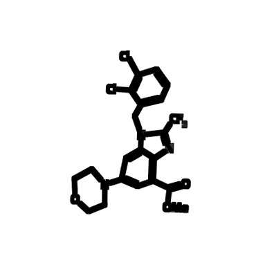 COC(=O)c1cc(N2CCOCC2)cc2c1nc(C(F)(F)F)n2Cc1cccc(Cl)c1Cl